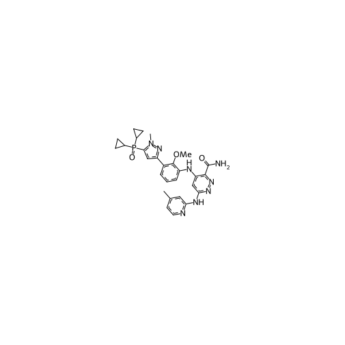 COc1c(Nc2cc(Nc3cc(C)ccn3)nnc2C(N)=O)cccc1-c1cc(P(=O)(C2CC2)C2CC2)n(C)n1